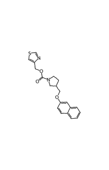 O=C(OCc1cscn1)N1CCC(COc2ccc3ccccc3c2)C1